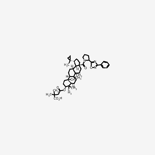 CC(C)(CC(=O)O[C@H]1CC[C@]2(C)[C@H]3CC[C@@H]4[C@H]5[C@H](C6(C)CC6)CC[C@]5(C(=O)N5CCCC5c5nc(-c6ccccc6)no5)CC[C@@]4(C)[C@]3(C)CC[C@H]2C1(C)C)C(=O)O